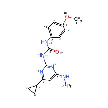 [CH2]CCNc1cc(C2CC2)nc(NC(=O)Nc2ccc(OC(F)(F)F)cc2)n1